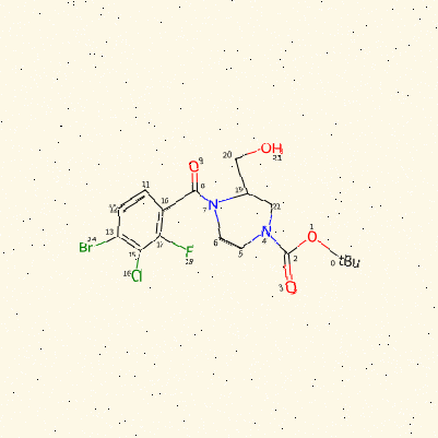 CC(C)(C)OC(=O)N1CCN(C(=O)c2ccc(Br)c(Cl)c2F)C(CO)C1